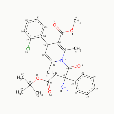 COC(=O)C1=C(C)N(C(=O)C(N)(CC(=O)OC(C)(C)C)c2ccccc2)C(C)=CC1c1ccccc1Cl